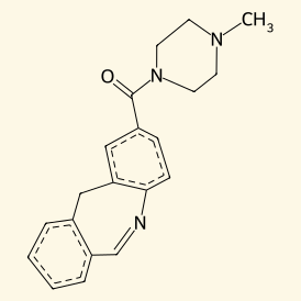 CN1CCN(C(=O)c2ccc3c(c2)Cc2ccccc2C=N3)CC1